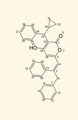 O=c1oc(C=C(Cc2ccccc2)c2ccccc2)cc(O)c1C(c1ccccc1)C1CC1